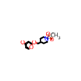 CS(=O)(=O)N1CCC(COc2cc(=O)cco2)CC1